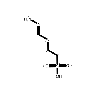 NN=CNCCS(=O)(=O)O